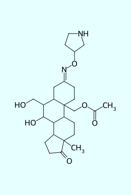 CC(=O)OCC12CCC(=NOC3CCNC3)CC1C(CO)C(O)C1C3CCC(=O)C3(C)CCC12